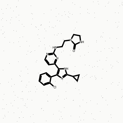 O=C1NCCN1CCNc1nccc(-c2[nH]c(C3CC3)nc2-c2ccccc2Cl)n1